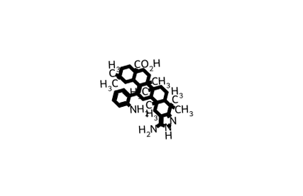 CC1(C)CCC2(C(=O)O)CCC3(C)C(=C(c4ccccc4N)CC4C5(C)Cc6c(n[nH]c6N)C(C)(C)C5CCC43C)C2C1